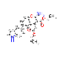 CCOC(=O)CC1C(C(=O)OCC)=C(N)Oc2ccc(-c3ccc4[nH]ccc4c3)cc21